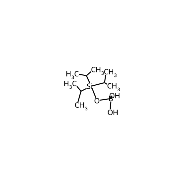 CC(C)[Si](OB(O)O)(C(C)C)C(C)C